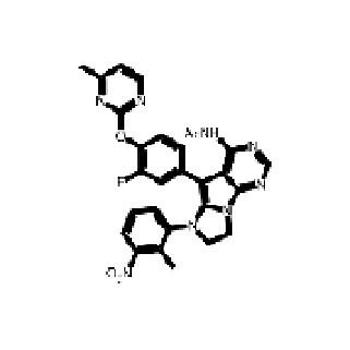 CC(=O)Nc1ncnc2c1c(-c1ccc(Oc3nccc(C)n3)c(F)c1)c1n2CCN1c1cccc([N+](=O)[O-])c1C